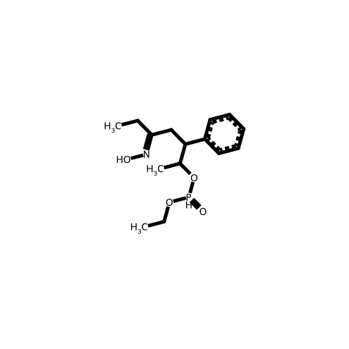 CCO[PH](=O)OC(C)C(CC(CC)=NO)c1ccccc1